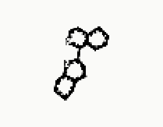 c1ccc2nc(-c3nccc4ccccc34)ccc2c1